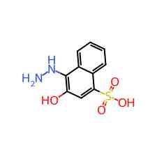 NNc1c(O)cc(S(=O)(=O)O)c2ccccc12